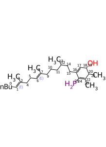 CCCC/C=C(\C)CC/C=C(\C)CCCC(C)CCC1=CC(O)C(C)C(C)=C1P